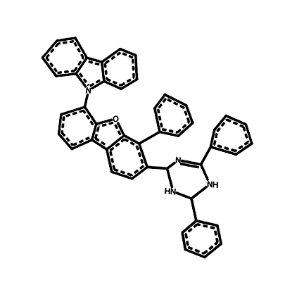 c1ccc(C2=NC(c3ccc4c(oc5c(-n6c7ccccc7c7ccccc76)cccc54)c3-c3ccccc3)NC(c3ccccc3)N2)cc1